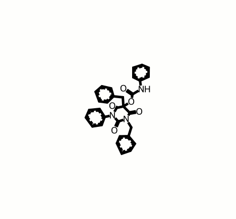 O=C(Nc1ccccc1)OC1(Cc2ccccc2)C(=O)N(Cc2ccccc2)C(=O)N(c2ccccc2)C1=O